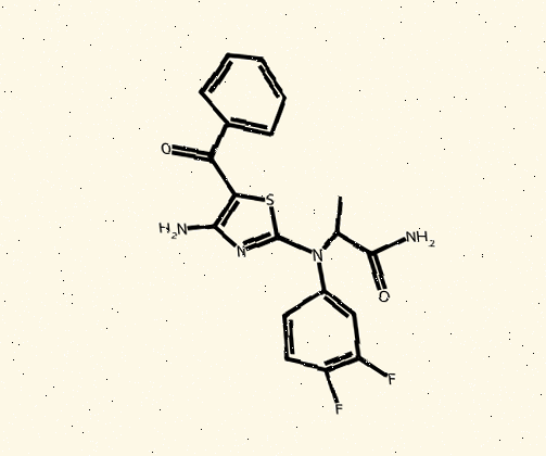 CC(C(N)=O)N(c1ccc(F)c(F)c1)c1nc(N)c(C(=O)c2ccccc2)s1